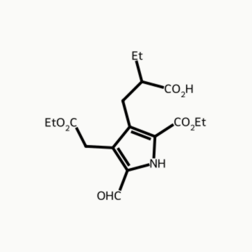 CCOC(=O)Cc1c(C=O)[nH]c(C(=O)OCC)c1CC(CC)C(=O)O